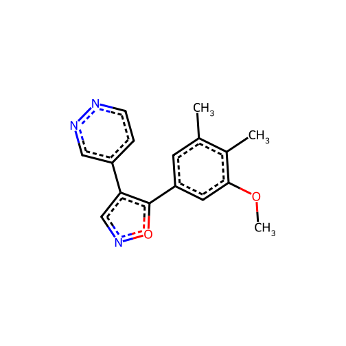 COc1cc(-c2oncc2-c2ccnnc2)cc(C)c1C